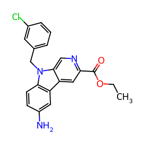 CCOC(=O)c1cc2c3cc(N)ccc3n(Cc3cccc(Cl)c3)c2cn1